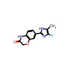 Cc1[nH]c(-c2ccc3c(c2)OCC(=O)N3)nc1F